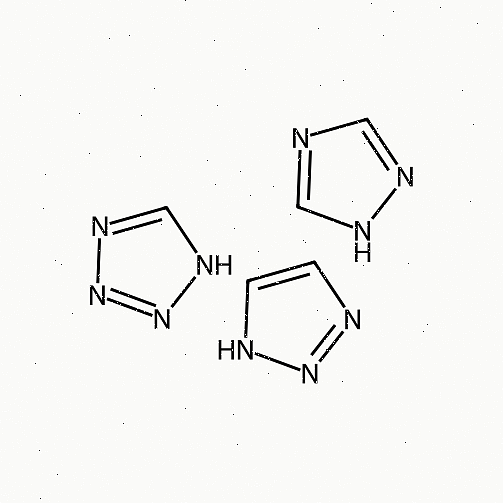 c1c[nH]nn1.c1nc[nH]n1.c1nnn[nH]1